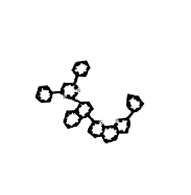 c1ccc(-c2cc(-c3ccccc3)nc(-c3ccc(-c4ccc5ccc6ccc(-c7ccccc7)nc6c5n4)c4ccccc34)n2)cc1